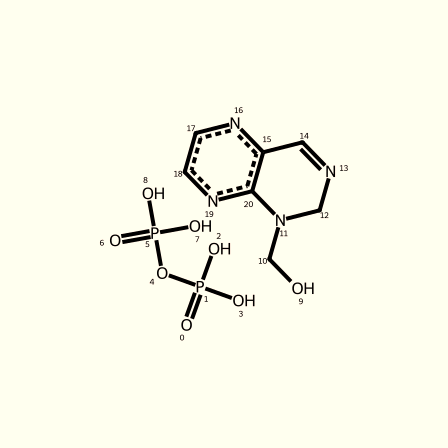 O=P(O)(O)OP(=O)(O)O.OCN1CN=Cc2nccnc21